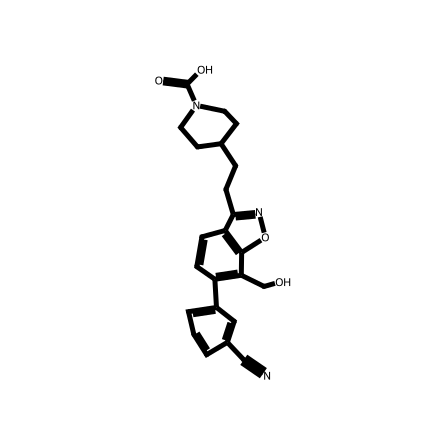 N#Cc1cccc(-c2ccc3c(CCC4CCN(C(=O)O)CC4)noc3c2CO)c1